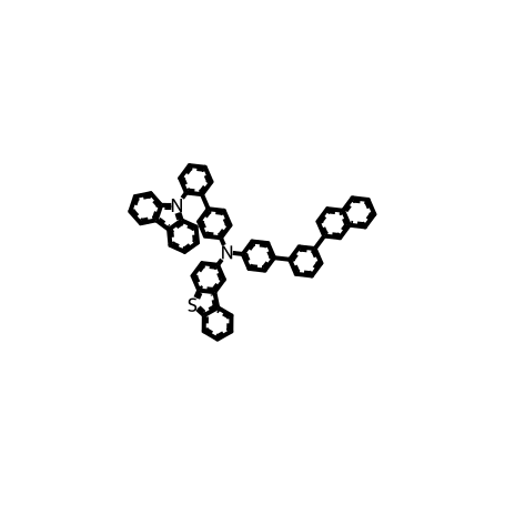 c1cc(-c2ccc(N(c3ccc(-c4ccccc4-n4c5ccccc5c5ccccc54)cc3)c3ccc4sc5ccccc5c4c3)cc2)cc(-c2ccc3ccccc3c2)c1